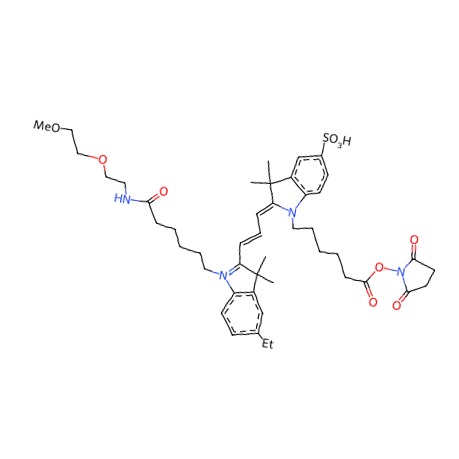 CCc1ccc2c(c1)C(C)(C)C(C=CC=C1N(CCCCCC(=O)ON3C(=O)CCC3=O)c3ccc(S(=O)(=O)O)cc3C1(C)C)=[N+]2CCCCCC(=O)NCCOCCOC